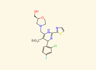 CCOC(=O)C1=C(CN2CCO[C@H](CO)C2)NC(c2nccs2)=NC1c1ccc(F)cc1Cl